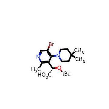 Cc1ncc(Br)c(N2CCC(C)(C)CC2)c1[C@H](OC(C)(C)C)C(=O)O